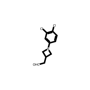 O=CCC1CN(c2ccc(Cl)c(Cl)c2)C1